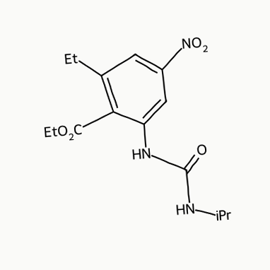 CCOC(=O)c1c(CC)cc([N+](=O)[O-])cc1NC(=O)NC(C)C